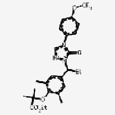 CCOC(=O)C(C)(C)Oc1c(C)cc(C(CC)n2ncn(-c3ccc(OC(F)(F)F)cc3)c2=O)cc1C